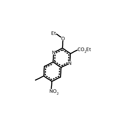 CCOC(=O)c1nc2cc([N+](=O)[O-])c(C)cc2nc1OCC